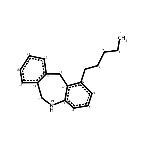 CCCCCc1cccc2c1Cc1ccccc1CN2